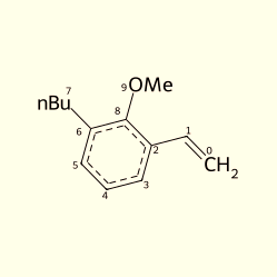 C=Cc1cccc(CCCC)c1OC